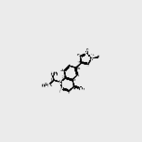 CCCC(CCC)n1ncc(=O)c2cc(-c3cnn(C)c3)ccc21